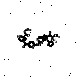 CN(C)C(=O)c1cc2cnc(Nc3ccc(C(=O)N4C[C@]5(C(=O)OC(C)(C)C)CC4CN5)cn3)nc2n1C1CCCC1